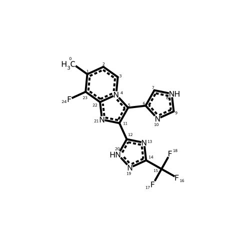 Cc1ccn2c(-c3c[nH]cn3)c(-c3nc(C(F)(F)F)n[nH]3)nc2c1F